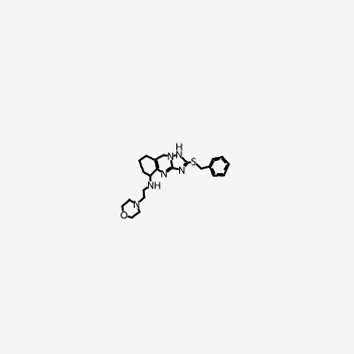 c1ccc(CSC2=NC3=NC4=C(CCCC4NCCN4CCOCC4)CN3N2)cc1